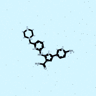 NC(=O)c1cc(-c2ccc(N)nc2)sc1Nc1cccc(CN2CCOCC2)n1